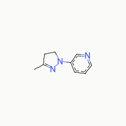 CC1=NN(c2cccnc2)CC1